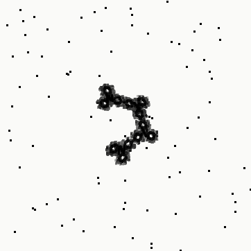 C1=CC(c2ccc(N(c3ccccc3)c3ccc(-c4ccc(N(c5ccccc5)c5ccc(-c6ccc(N(c7ccccc7)c7ccccc7)cc6)cc5)cc4)cc3)cc2)CC=C1N(c1ccccc1)c1ccccc1